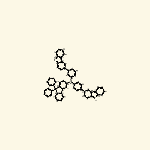 c1ccc(C2(c3ccccc3)c3ccccc3-c3cc(N(c4ccc(-c5ccc6oc7ccccc7c6c5)cc4)c4cccc(-c5ccc6oc7ccccc7c6c5)c4)ccc32)cc1